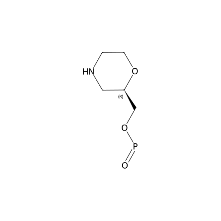 O=POC[C@H]1CNCCO1